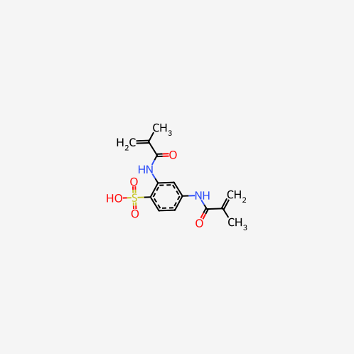 C=C(C)C(=O)Nc1ccc(S(=O)(=O)O)c(NC(=O)C(=C)C)c1